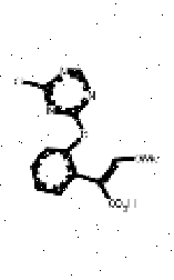 COC=C(C(=O)O)c1ccccc1Oc1ncnc(Cl)n1